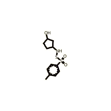 Cc1ccc(S(=O)(=O)SNC2CCC(O)C2)cc1